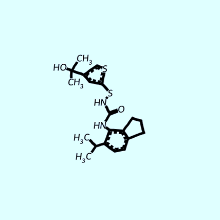 CC(C)c1ccc2c(c1NC(=O)NSc1cc(C(C)(C)O)cs1)CCC2